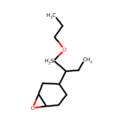 CCCO[SiH2]C(CC)C1CCC2OC2C1